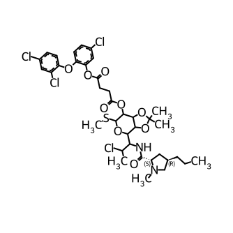 CCC[C@@H]1C[C@@H](C(=O)NC(C(C)Cl)C2OC(SC)C(OC(=O)CCC(=O)Oc3cc(Cl)ccc3Oc3ccc(Cl)cc3Cl)C3OC(C)(C)OC23)N(C)C1